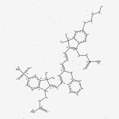 COOOSc1ccc2c(c1)C(C)(C)C(/C=C/C=C(/C=C/C=C1/N(CCC(=O)O)c3ccc(S(=O)(=O)O)cc3C1(C)C)Cc1ccccc1)=[N+]2CCC(=O)O